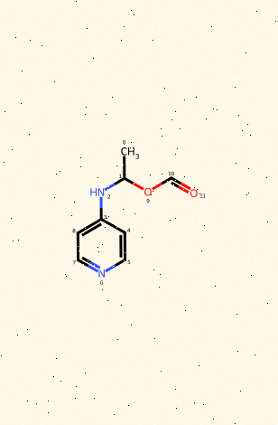 CC(Nc1ccncc1)OC=O